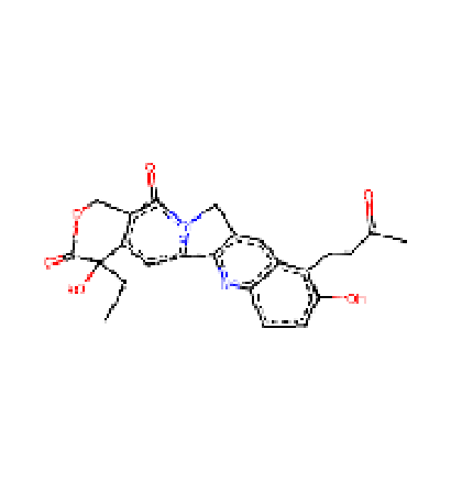 CCC1(O)C(=O)OCc2c1cc1n(c2=O)Cc2cc3c(CCC(C)=O)c(O)ccc3nc2-1